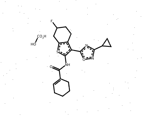 O=C(Nc1sc2c(c1-c1nc(C3CC3)no1)CCC(F)C2)C1=CCCCC1.O=C(O)O